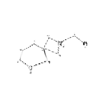 CC(C)CN1CC2(CCCOC2)C1